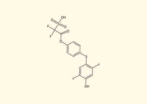 O=C(Oc1ccc(Sc2cc(I)c(O)cc2I)cc1)C(F)(F)S(=O)(=O)O